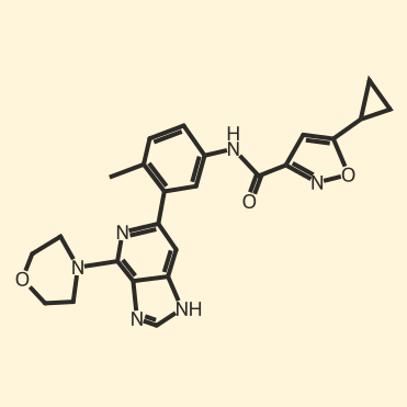 Cc1ccc(NC(=O)c2cc(C3CC3)on2)cc1-c1cc2[nH]cnc2c(N2CCOCC2)n1